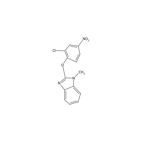 Cn1c(Oc2ccc([N+](=O)[O-])cc2Cl)nc2ccccc21